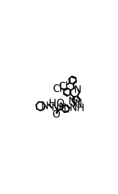 O=C(NCCN1CCCCCC1)c1ccc(Nc2ncc3c(n2)-c2ccc(Cl)cc2C(c2ccccc2Cl)=NC3)cc1O